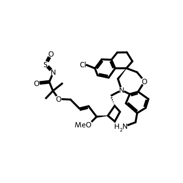 COC(/C=C/COC(C)(C)C(=O)N=S=O)[C@@H]1CC[C@H]1CN1C[C@@]2(CCCc3cc(Cl)ccc32)COc2ccc(CN)cc21